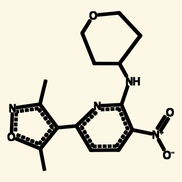 Cc1noc(C)c1-c1ccc([N+](=O)[O-])c(NC2CCOCC2)n1